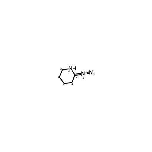 [N-]=[N+]=C1CCCCN1